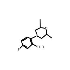 CC1CN(c2ccc(F)cc2C=O)CC(C)O1